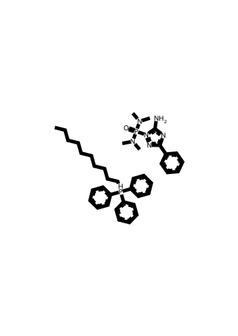 CCCCCCCCCC[PH](c1ccccc1)(c1ccccc1)c1ccccc1.CN(C)P(=O)(N(C)C)n1nc(-c2ccccc2)nc1N